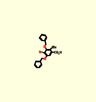 CC(C)(C)c1c(C(=O)O)cc(OCc2ccccc2)c(Br)c1OCc1ccccc1